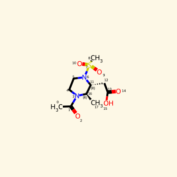 CC(=O)N1CCN(S(C)(=O)=O)[C@H](CC(=O)O)[C@H]1C